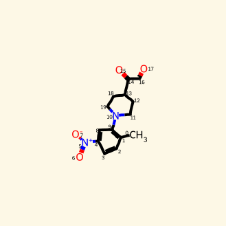 Cc1ccc([N+](=O)[O-])cc1N1CCC(C(=O)C=O)CC1